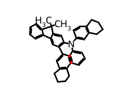 CC1(C)c2ccccc2-c2cc(-c3ccc4c(c3)CCCC4)c(N(c3ccccc3)c3ccc4c(c3)CCCC4)cc21